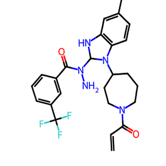 C=CC(=O)N1CCCC(N2c3ccc(C)cc3NC2N(N)C(=O)c2cccc(C(F)(F)F)c2)CC1